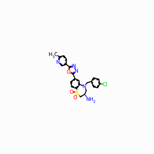 Cc1ccc(-c2nnc(-c3ccc4c(c3)N(Cc3ccc(Cl)cc3)C[C@@H](N)CS4(=O)=O)o2)cn1